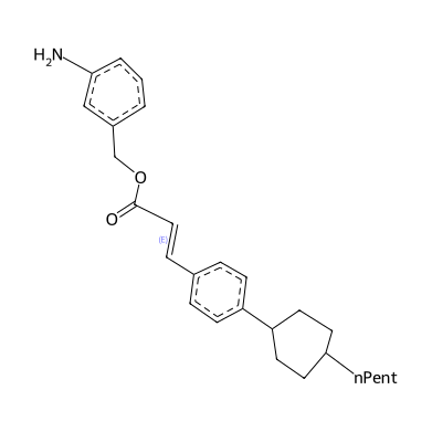 CCCCCC1CCC(c2ccc(/C=C/C(=O)OCc3cccc(N)c3)cc2)CC1